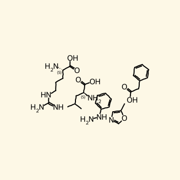 CC(C)C[C@H](N)C(=O)O.Cc1cnco1.N=C(N)NCCC[C@H](N)C(=O)O.NNc1ccccc1.O=C(O)Cc1ccccc1